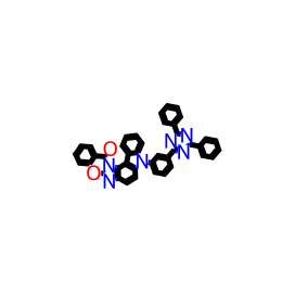 O=c1c2ccccc2oc2nc3ccc4c(c5ccccc5n4-c4cccc(-c5nc(-c6ccccc6)nc(-c6ccccc6)n5)c4)c3n12